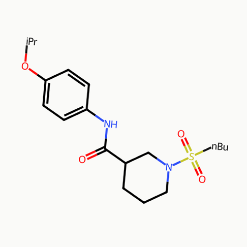 CCCCS(=O)(=O)N1CCCC(C(=O)Nc2ccc(OC(C)C)cc2)C1